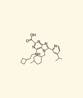 CC1CCC(Cn2c(-c3cc(C(C)C)ccn3)nc3nc(C(=O)O)nc(NCCC4CCC4)c32)CC1